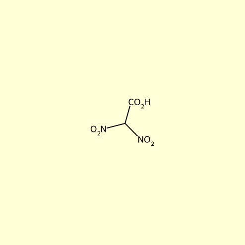 O=C(O)C([N+](=O)[O-])[N+](=O)[O-]